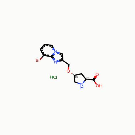 Cl.O=C(O)[C@@H]1C[C@@H](OCc2cn3cccc(Br)c3n2)CN1